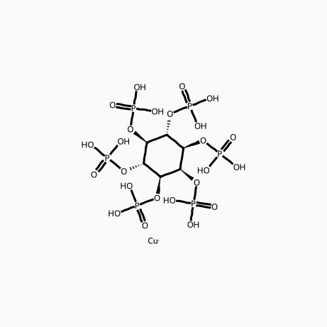 O=P(O)(O)O[C@H]1[C@H](OP(=O)(O)O)[C@@H](OP(=O)(O)O)[C@H](OP(=O)(O)O)[C@@H](OP(=O)(O)O)[C@H]1OP(=O)(O)O.[Cu]